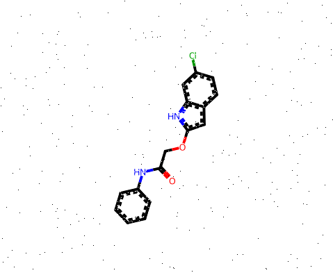 O=C(COc1cc2ccc(Cl)cc2[nH]1)Nc1ccccc1